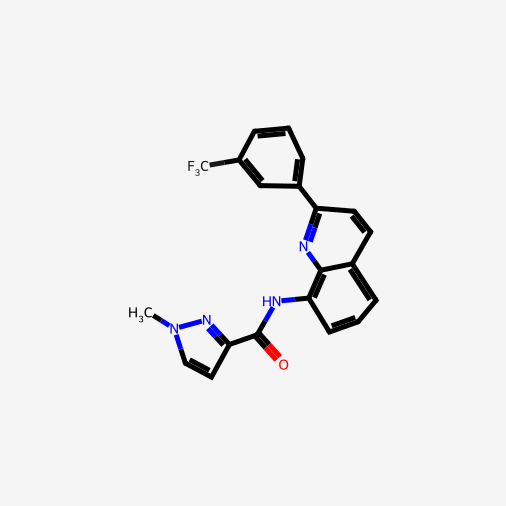 Cn1ccc(C(=O)Nc2cccc3ccc(-c4cccc(C(F)(F)F)c4)nc23)n1